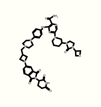 NC(=O)c1ncc(N2CCCC(N3CCN(C4COC4)C3=O)C2)nc1Nc1ccc(N2CCN(CC3CN(c4ccc5c(c4)C(=O)N(C4CCC(=O)NC4=O)C5=O)C3)CC2)cc1